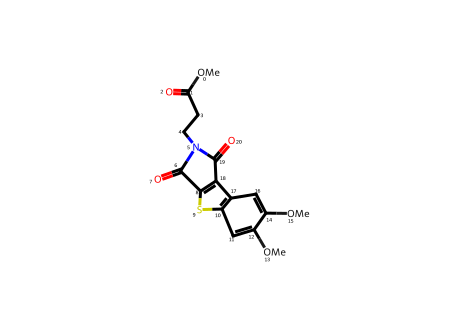 COC(=O)CCN1C(=O)c2sc3cc(OC)c(OC)cc3c2C1=O